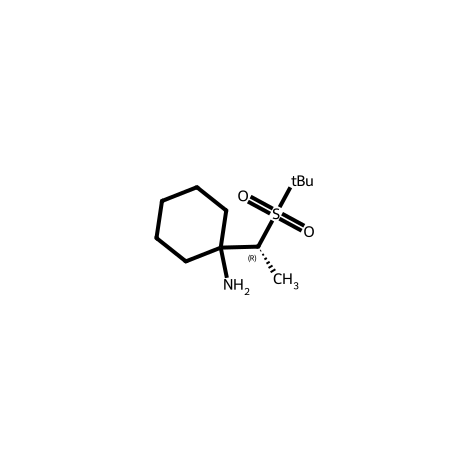 C[C@H](C1(N)CCCCC1)S(=O)(=O)C(C)(C)C